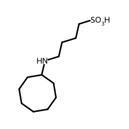 O=S(=O)(O)CCCCNC1CCCCCCC1